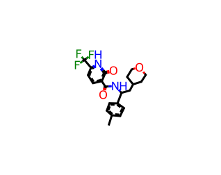 Cc1ccc(C(CC2CCOCC2)NC(=O)c2ccc(C(F)(F)F)[nH]c2=O)cc1